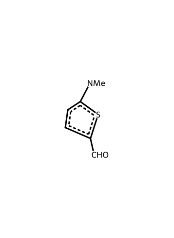 CNc1ccc(C=O)s1